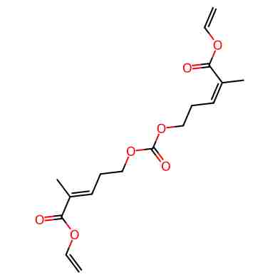 C=COC(=O)C(C)=CCCOC(=O)OCCC=C(C)C(=O)OC=C